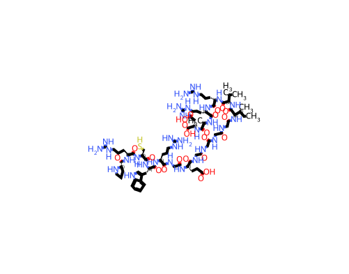 CC[C@H](C)[C@H](NC(=O)CNC(=O)CNC(=O)CNC(=O)CNC(=O)[C@H](CCC(=O)O)NC(=O)CNC(=O)[C@H](CCCNC(=N)N)NC(=O)[C@H](Cc1c[nH]c2ccccc12)NC(=O)[C@H](CS)NC(=O)[C@H](CCCNC(=N)N)NC(=O)[C@@H]1CCCN1)C(=O)N[C@H](C(=O)N[C@@H](CCCNC(=N)N)C(=O)N[C@@H](CCCNC(=N)N)C(=O)N[C@@H](C)C(=O)N[C@@H](CC(=O)O)C(=O)O)C(C)C